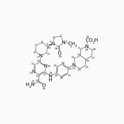 CN1CCN([C@@H]2CCCN(c3cnc(C(N)=O)c(Nc4ccc(N5CCC6CCN(C(=O)O)CC6C5)cc4)n3)C2)C1=O